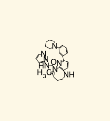 C[C@@H]1CCCNc2ccc(-c3cccc(N4CCCCC4)c3)nc2N1C(=O)Nc1cccnn1